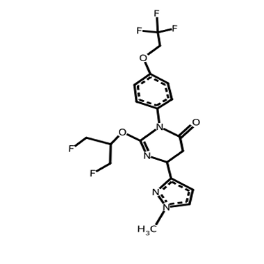 Cn1ccc(C2CC(=O)N(c3ccc(OCC(F)(F)F)cc3)C(OC(CF)CF)=N2)n1